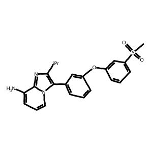 CC(C)c1nc2c(N)cccn2c1-c1cccc(Oc2cccc(S(C)(=O)=O)c2)c1